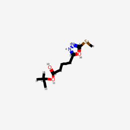 CSc1nnc(CCCC(=O)OC(C)(C)C)o1